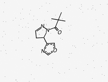 CC(C)(C)C(=O)N1N=CCC1c1cocn1